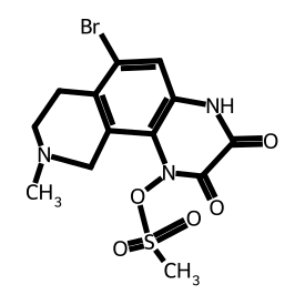 CN1CCc2c(Br)cc3[nH]c(=O)c(=O)n(OS(C)(=O)=O)c3c2C1